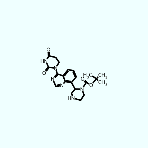 CC(C)(C)OC(=O)N1CCNCC1c1cccc2c(N3CCC(=O)NC3=O)ncnc12